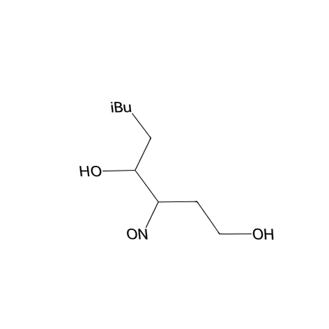 CCC(C)CC(O)C(CCO)N=O